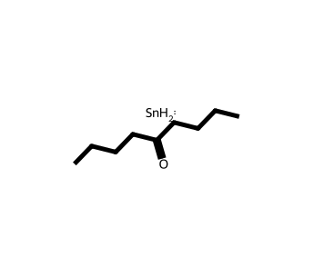 CCCCC(=O)CCCC.[SnH2]